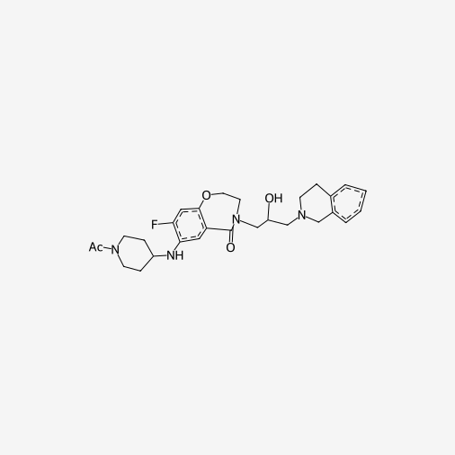 CC(=O)N1CCC(Nc2cc3c(cc2F)OCCN(CC(O)CN2CCc4ccccc4C2)C3=O)CC1